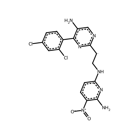 Nc1cnc([CH]CNc2ccc([N+](=O)[O-])c(N)n2)nc1-c1ccc(Cl)cc1Cl